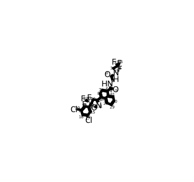 O=C(CNC(=O)c1ccc(C2=NO[C@](c3cc(Cl)cc(Cl)c3)(C(F)(F)F)C2)c2ccccc12)NCC(F)(F)F